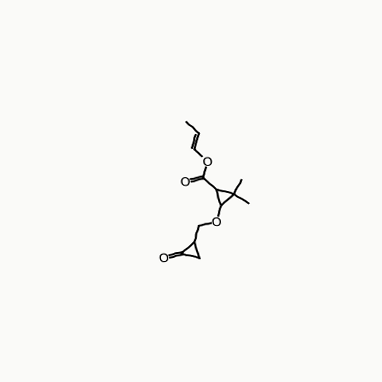 CC=COC(=O)C1C(OCC2CC2=O)C1(C)C